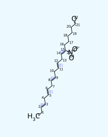 CC/C=C/C/C=C/C/C=C/C/C=C/C/C=C(/CCCCC[C]=O)[N+](=O)[O-]